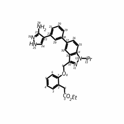 CCOC(=O)Cc1ccccc1OCc1nn(C(C)C)c2ccc(-c3cccc(-c4c[nH]nc4N)c3)cc12